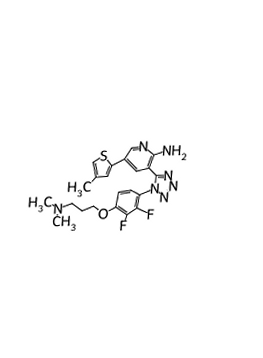 Cc1csc(-c2cnc(N)c(-c3nnnn3-c3ccc(OCCCN(C)C)c(F)c3F)c2)c1